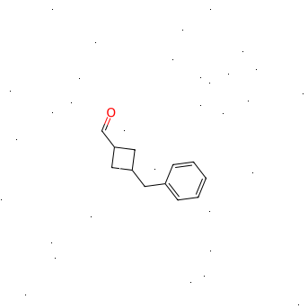 O=CC1CC(Cc2ccccc2)C1